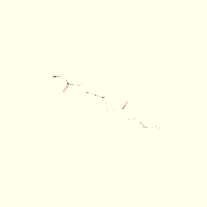 C=CC(=O)OCCNC(=O)ON=CCCC